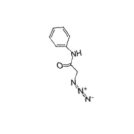 [N-]=[N+]=NCC(=O)Nc1ccccc1